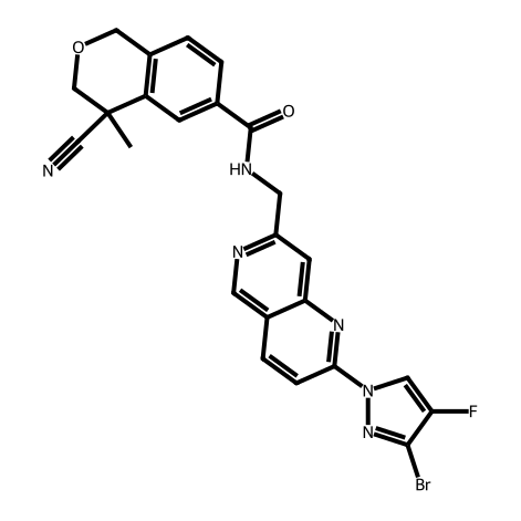 CC1(C#N)COCc2ccc(C(=O)NCc3cc4nc(-n5cc(F)c(Br)n5)ccc4cn3)cc21